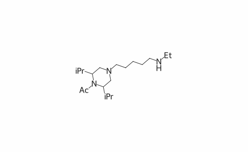 CCNCCCCCN1CC(C(C)C)N(C(C)=O)C(C(C)C)C1